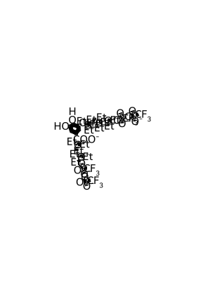 CC[O+](CC)CC.CC[O+](CC)CC.CC[O+](CC)CC.CC[O+](CC)CC.CC[O+](CC)CC.O=C([O-])c1cc(O)c(O)c(O)c1.O=S(=O)([O-])C(F)(F)F.O=S(=O)([O-])C(F)(F)F.O=S(=O)([O-])C(F)(F)F.O=S(=O)([O-])C(F)(F)F